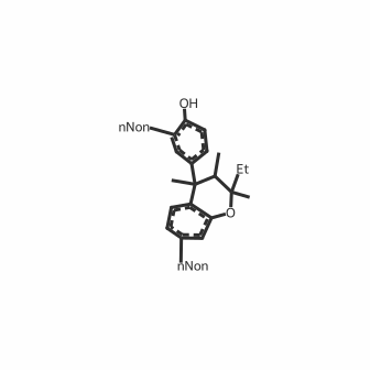 CCCCCCCCCc1ccc2c(c1)OC(C)(CC)C(C)C2(C)c1ccc(O)c(CCCCCCCCC)c1